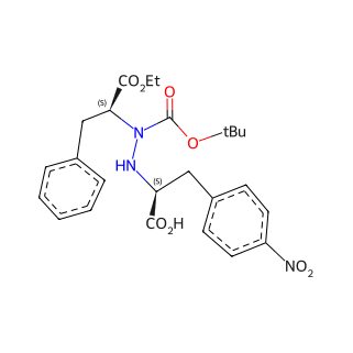 CCOC(=O)[C@H](Cc1ccccc1)N(N[C@@H](Cc1ccc([N+](=O)[O-])cc1)C(=O)O)C(=O)OC(C)(C)C